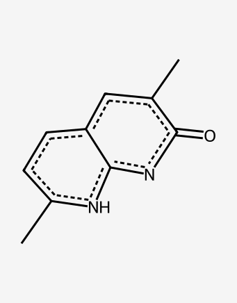 Cc1ccc2cc(C)c(=O)nc-2[nH]1